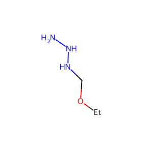 CCOCNNN